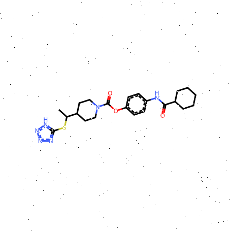 CC(Sc1nnn[nH]1)C1CCN(C(=O)Oc2ccc(NC(=O)C3CCCCC3)cc2)CC1